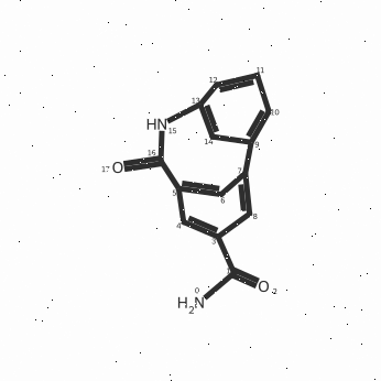 NC(=O)c1cc2cc(c1)-c1cccc(c1)NC2=O